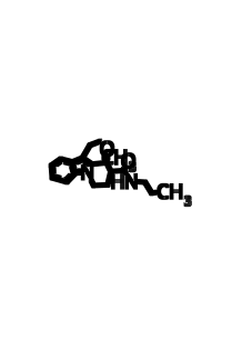 CCCNC(=O)C1CCn2c3c(c4ccccc42)CCOC31C